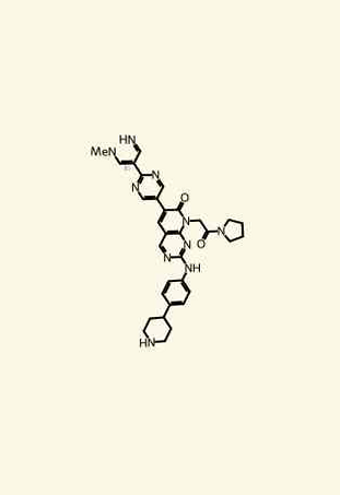 CN/C=C(\C=N)c1ncc(-c2cc3cnc(Nc4ccc(C5CCNCC5)cc4)nc3n(CC(=O)N3CCCC3)c2=O)cn1